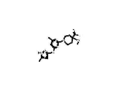 COC1(C(=O)O)CCN(c2nc(C)cc(Nc3cc(C)[nH]n3)n2)CC1